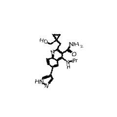 CC(C)Nc1c(C(N)=O)c(CC2(CO)CC2)nc2ccc(-c3cn[nH]c3)cc12